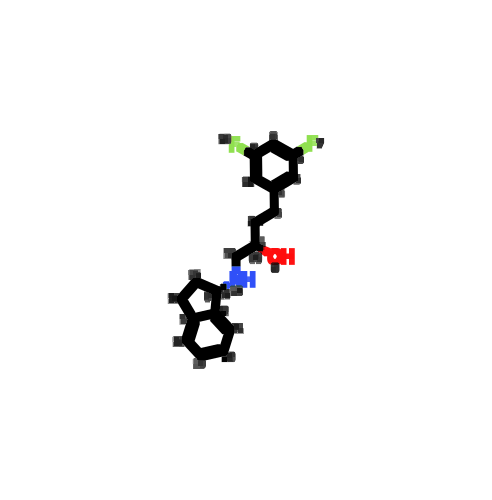 O[C@H]([CH]Cc1cc(F)cc(F)c1)CN[C@H]1CCc2ccccc21